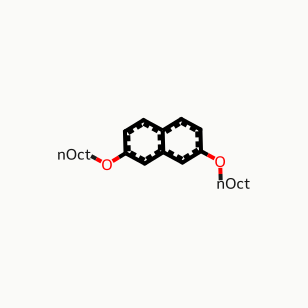 CCCCCCCCOc1ccc2ccc(OCCCCCCCC)cc2c1